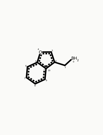 BCc1coc2ccccc12